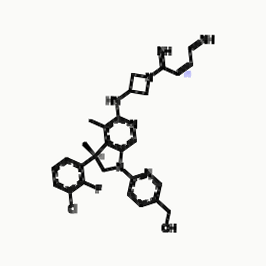 Cc1c(NC2CN(C(=N)/C=C\C=N)C2)ncc2c1[C@@](C)(c1cccc(Cl)c1F)CN2c1ccc(CO)cn1